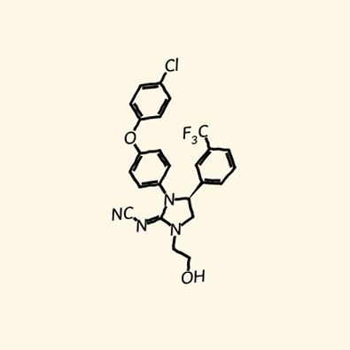 N#CN=C1N(CCO)C[C@H](c2cccc(C(F)(F)F)c2)N1c1ccc(Oc2ccc(Cl)cc2)cc1